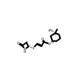 CC(C)[C@]1(C)CCC[C@H](OC(=O)C=CS[C@H]2CC(=O)N2)C1